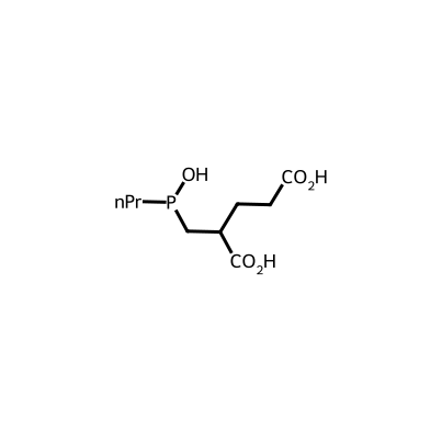 CCCP(O)CC(CCC(=O)O)C(=O)O